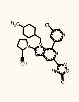 C#CC1CCCN1c1nc2cc(-c3noc(=O)[nH]3)nc(-c3cncc(Cl)c3)c2n1CC1CCC(C)CC1